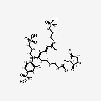 CC(/C=C/C=C(\CCCCCC(=O)ON1C(=O)CCC1=O)N(CCCS(=O)(=O)O)c1ccc(S(=O)(=O)O)cc1C)=N/CCCS(=O)(=O)O